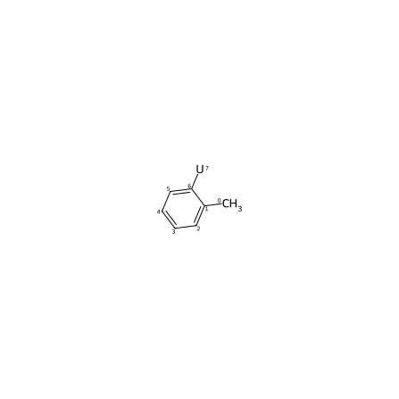 Cc1cccc[c]1[U]